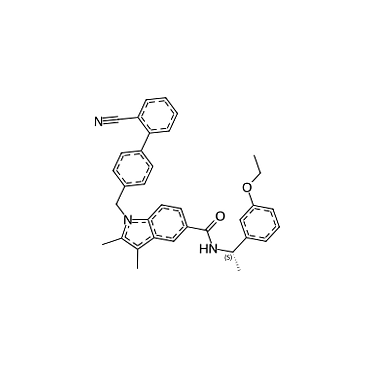 CCOc1cccc([C@H](C)NC(=O)c2ccc3c(c2)c(C)c(C)n3Cc2ccc(-c3ccccc3C#N)cc2)c1